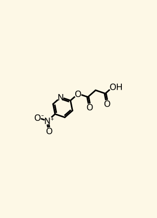 O=C(O)CC(=O)Oc1ccc([N+](=O)[O-])cn1